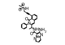 CC(NC(=O)c1c(N)nc2cccnn12)c1cc2cccc(C#CCNS(C)(=O)=O)c2c(=O)n1-c1ccccc1